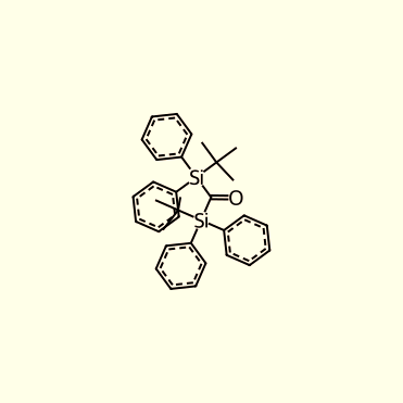 CC(C)(C)[Si](C(=O)[Si](c1ccccc1)(c1ccccc1)C(C)(C)C)(c1ccccc1)c1ccccc1